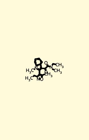 CCc1noc(C)c1-c1c(C(=O)C(=O)N(CC)CC)c2ccccc2n1C